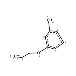 [CH2]c1cccc(OCC=C)c1